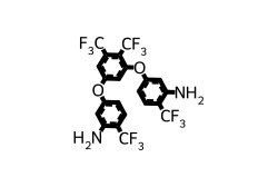 Nc1cc(Oc2cc(Oc3ccc(C(F)(F)F)c(N)c3)c(C(F)(F)F)c(C(F)(F)F)c2)ccc1C(F)(F)F